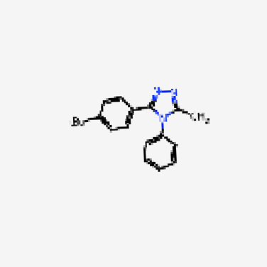 Cc1nnc(-c2ccc(C(C)(C)C)cc2)n1-c1ccccc1